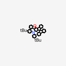 CC(C)(C)c1ccc(N(c2ccc(C(C)(C)C)cc2)c2cc3c(c4oc5ccccc5c24)-c2ccccc2C32c3ccccc3-c3ccccc32)cc1